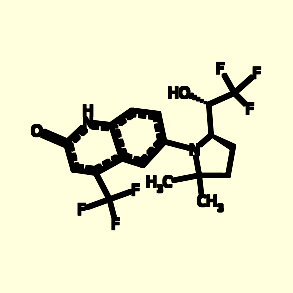 CC1(C)CC[C@H]([C@H](O)C(F)(F)F)N1c1ccc2[nH]c(=O)cc(C(F)(F)F)c2c1